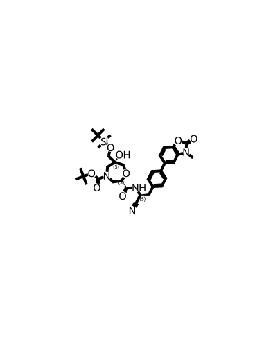 Cn1c(=O)oc2ccc(-c3ccc(C[C@@H](C#N)NC(=O)[C@@H]4CN(C(=O)OC(C)(C)C)C[C@@](O)(CO[Si](C)(C)C(C)(C)C)CO4)cc3)cc21